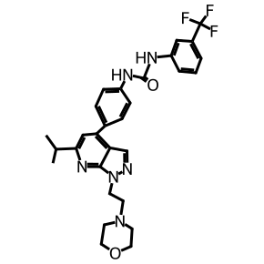 CC(C)c1cc(-c2ccc(NC(=O)Nc3cccc(C(F)(F)F)c3)cc2)c2cnn(CCN3CCOCC3)c2n1